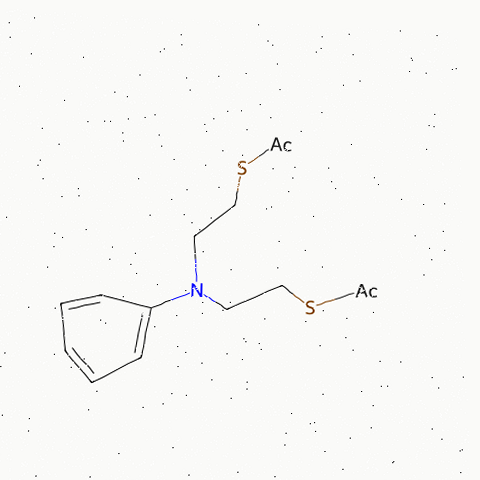 CC(=O)SCCN(CCSC(C)=O)c1ccccc1